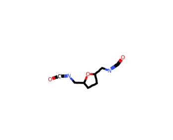 O=C=NCC1CCC(CN=C=O)O1